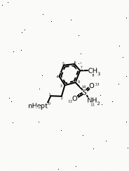 CCCCCCCCCc1cccc(C)c1S(N)(=O)=O